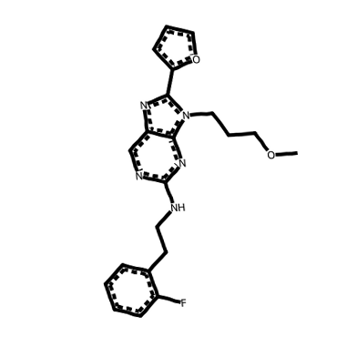 COCCCn1c(-c2ccco2)nc2cnc(NCCc3ccccc3F)nc21